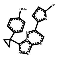 COc1ccc(C2(c3nnc4ncc(-c5ccc(Br)s5)nn34)CC2)cc1